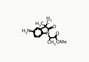 COC(=O)C(C)N1C(=O)C(C)(C)c2cc(N)ccc21